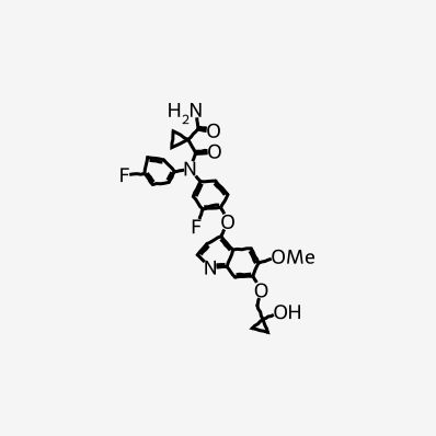 COc1cc2c(Oc3ccc(N(C(=O)C4(C(N)=O)CC4)c4ccc(F)cc4)cc3F)ccnc2cc1OCC1(O)CC1